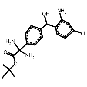 CC(C)(C)OC(=O)C(N)(N)c1ccc(C(O)c2ccc(Cl)cc2N)cc1